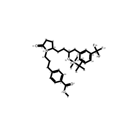 COC(=O)c1ccc(CCCN2C(=O)CCC2CCC(Cc2cccc(C(F)(F)F)c2)O[Si](C)(C)C(C)(C)C)cc1